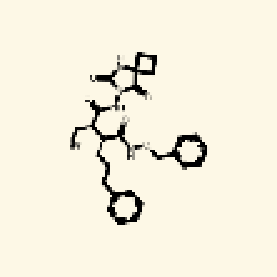 CC(C)C[C@@H](C(=O)NN1C(=O)NC2(CCC2)C1=O)[C@H](CCCc1ccccc1)C(=O)NOCc1ccccc1